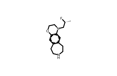 C[C@@H](F)CN1CCOc2cc3c(cc21)CCNCC3